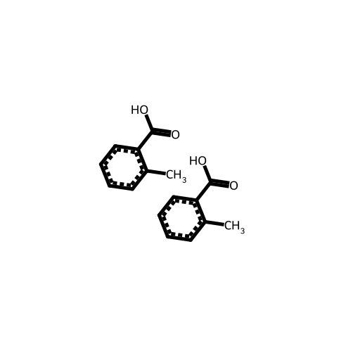 Cc1ccccc1C(=O)O.Cc1ccccc1C(=O)O